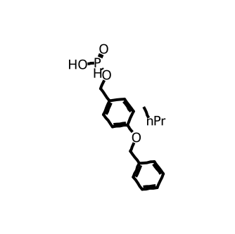 CCCC.O=[PH](O)OCc1ccc(OCc2ccccc2)cc1